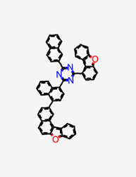 c1ccc2cc(-c3nc(-c4ccc(-c5ccc6ccc7oc8ccccc8c7c6c5)c5ccccc45)nc(-c4cccc5oc6ccccc6c45)n3)ccc2c1